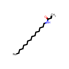 C=CC(=O)NCCCCCCCCCCCCC[CH2][Na]